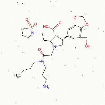 CCCCN(CCCN)C(=O)CN1C[C@H](c2cc(CO)c3c(c2)OCO3)[C@@H](C(=O)O)[C@@H]1CCN1CCCS1(=O)=O